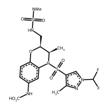 CNS(=O)(=O)NC[C@@H]1Oc2ccc(NC(=O)O)cc2N(S(=O)(=O)c2cn(C(F)F)nc2C)[C@@H]1C